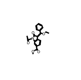 CCOC(=C1C(=O)N(C(C)=O)c2cc(C(=O)OC)ccc21)c1ccccc1